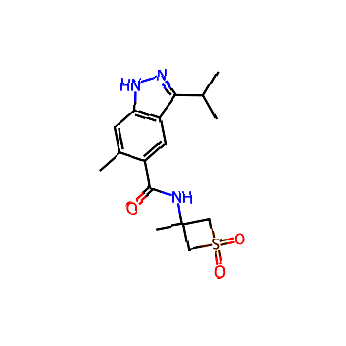 Cc1cc2[nH]nc(C(C)C)c2cc1C(=O)NC1(C)CS(=O)(=O)C1